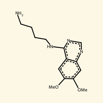 COc1cc2ncnc(NCCCCN)c2cc1OC